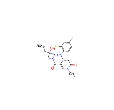 CNCC1(O)CN(C(=O)c2cn(C)c(=O)cc2Nc2ccc(I)cc2F)C1